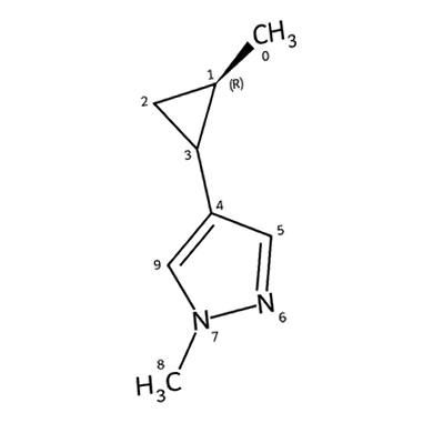 C[C@@H]1CC1c1cnn(C)c1